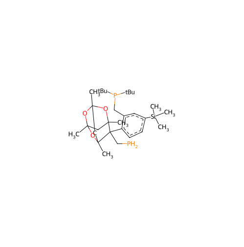 CC12CC3(C)OC(C)(CC(C)(O1)C3(CP)c1ccc([Si](C)(C)C)cc1CP(C(C)(C)C)C(C)(C)C)O2